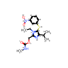 CCn1c(COC(=O)NC)nc(C(C)C)c1Sc1cccc([N+](=O)[O-])c1